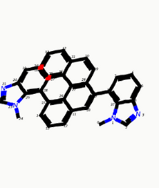 Cn1cnc2cccc(-c3cc4cccc(-c5cccc6ncn(C)c56)c4c4c3ccc3ccccc34)c21